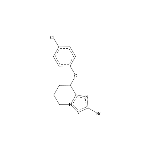 Clc1ccc(OC2CCCn3nc(Br)nc32)cc1